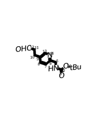 CC(C)(C)OC(=O)NCc1ccc(CCC=O)cn1